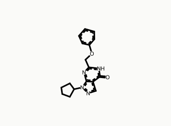 O=c1[nH]c(COc2ccccc2)nc2c1cnn2C1CCCC1